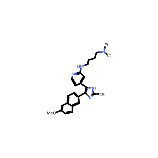 CCN(CC)CCCCNc1cc(-c2[nH]c(C(C)(C)C)nc2-c2ccc3cc(OC)ccc3c2)ccn1